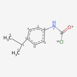 CC(C)c1ccc(NC(=O)Cl)cc1